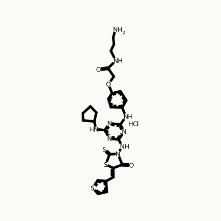 Cl.NCCCNC(=O)COc1ccc(Nc2nc(NC3CCCC3)nc(NN3C(=O)/C(=C/c4ccsc4)SC3=S)n2)cc1